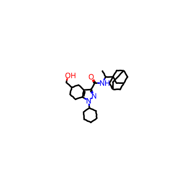 CC(NC(=O)c1nn(C2CCCCC2)c2c1CC(CO)CC2)C12CC3CC(CC(C3)C1)C2